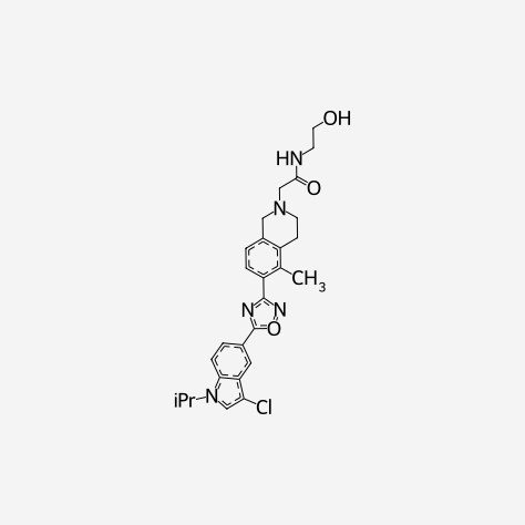 Cc1c(-c2noc(-c3ccc4c(c3)c(Cl)cn4C(C)C)n2)ccc2c1CCN(CC(=O)NCCO)C2